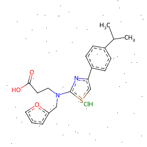 CC(C)c1ccc(-c2csc(N(CCC(=O)O)Cc3ccco3)n2)cc1.Cl